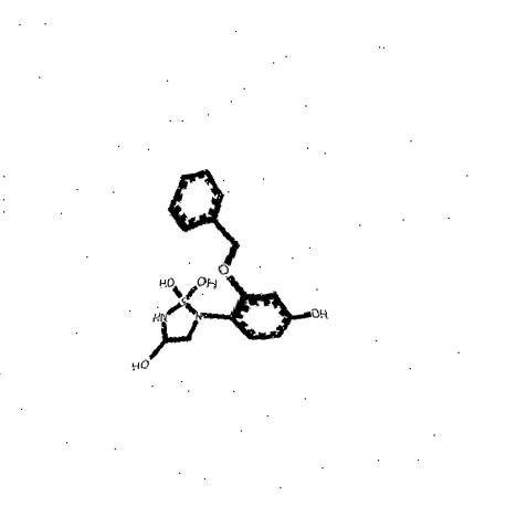 Oc1ccc(N2CC(O)NS2(O)O)c(OCc2ccccc2)c1